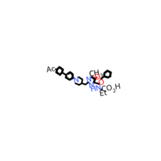 CCC(NC(=O)c1nc(CC2CCN(c3ccc(-c4ccc(C(C)=O)cc4)cc3)CC2)nc(C)c1OCc1ccccc1)C(=O)O